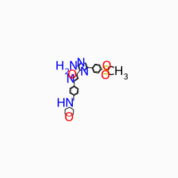 CS(=O)(=O)c1ccc(-c2cnc(N)c(-c3cc(-c4ccc(CNC5CCOCC5)cc4)no3)n2)cc1